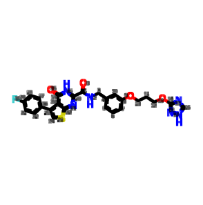 O=C(NCc1cccc(OCCCOc2nc[nH]n2)c1)c1nc2scc(-c3ccc(F)cc3)c2c(=O)[nH]1